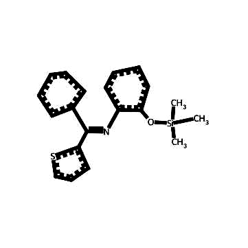 C[Si](C)(C)Oc1ccccc1N=C(c1ccccc1)c1cccs1